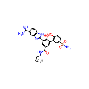 N=C(N)c1ccc2[nH]c(-c3cc(C(=O)NCCS(=O)(=O)O)cc(-c4cc(S(N)(=O)=O)ccc4O)c3O)nc2c1